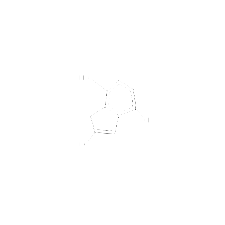 CC1=Cc2c(Cl)ccc(C)c2C1